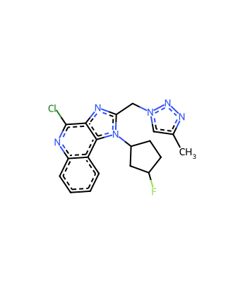 Cc1cn(Cc2nc3c(Cl)nc4ccccc4c3n2C2CCC(F)C2)nn1